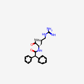 CNC(=O)[C@H](CCCNC(=N)N)NC(=O)C(c1ccccc1)c1ccccc1